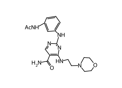 CC(=O)Nc1cccc(Nc2ncc(C(N)=O)c(NCCN3CCOCC3)n2)c1